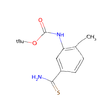 Cc1ccc(C(N)=S)cc1NC(=O)OC(C)(C)C